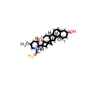 C[C@H]1C[C@H]2O[C@@]34CC[C@H]5[C@@H]6CC=C7C[C@@H](O)CC[C@]7(C)[C@H]6CC56CC63C[C@@H]4[C@@H]2N(CP)C1